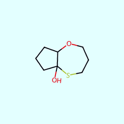 OC12CCCC1OCCCS2